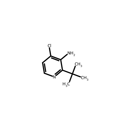 CC(C)(C)c1nccc(Cl)c1N